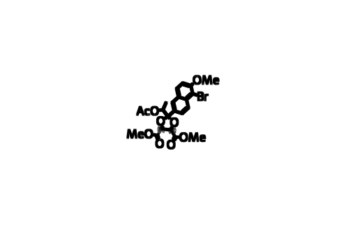 COC(=O)[C@@H]1OC(c2ccc3c(Br)c(OC)ccc3c2)(C(C)OC(C)=O)O[C@H]1C(=O)OC